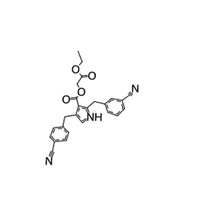 CCOC(=O)COC(=O)c1c(Cc2ccc(C#N)cc2)c[nH]c1Cc1cccc(C#N)c1